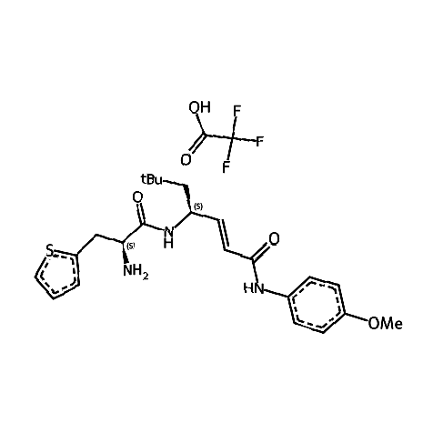 COc1ccc(NC(=O)C=C[C@H](CC(C)(C)C)NC(=O)[C@@H](N)Cc2cccs2)cc1.O=C(O)C(F)(F)F